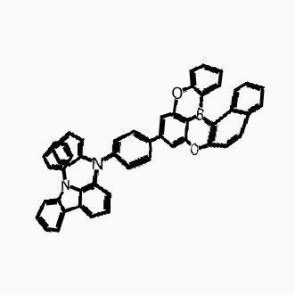 c1ccc(N(c2ccc(-c3cc4c5c(c3)Oc3ccc6ccccc6c3B5c3ccccc3O4)cc2)c2cccc3c4ccccc4n(-c4ccccc4)c23)cc1